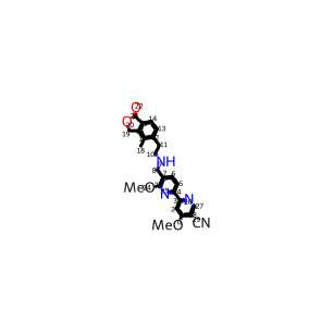 COc1cc(-c2ccc(CNCCc3ccc4c(c3C)COC4=O)c(OC)n2)ncc1C#N